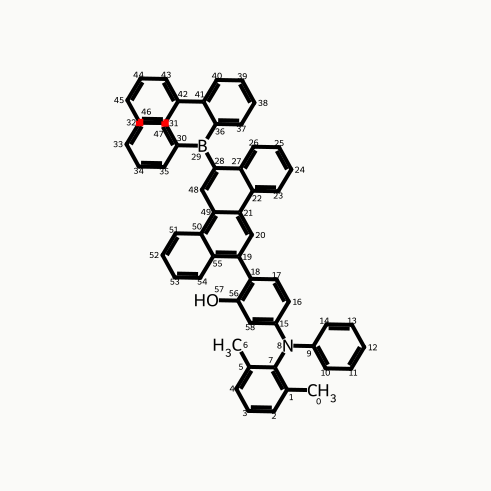 Cc1cccc(C)c1N(c1ccccc1)c1ccc(-c2cc3c4ccccc4c(B(c4ccccc4)c4ccccc4-c4ccccc4)cc3c3ccccc23)c(O)c1